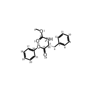 COC(=O)N[C@H](Cc1ccccc1)C(=O)Oc1ccccc1